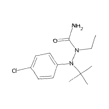 CCN(C(N)=O)N(c1ccc(Cl)cc1)C(C)(C)C